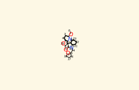 COc1ccc2c(n1)C1(CO2)C(=O)N(C[C@H]2CCCO2)c2ccccc21